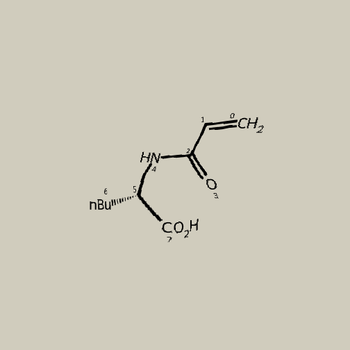 C=CC(=O)N[C@@H](CCCC)C(=O)O